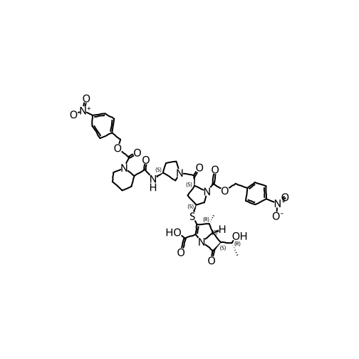 C[C@@H](O)[C@H]1C(=O)N2C(C(=O)O)=C(S[C@H]3C[C@@H](C(=O)N4CC[C@H](NC(=O)C5CCCCN5C(=O)OCc5ccc([N+](=O)[O-])cc5)C4)N(C(=O)OCc4ccc([N+](=O)[O-])cc4)C3)[C@H](C)[C@H]12